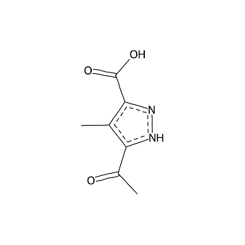 CC(=O)c1[nH]nc(C(=O)O)c1C